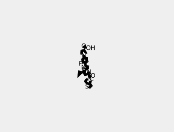 C[C@@H]1c2ccsc2CCN1C(=O)c1cc(C2CC2)n2nc(-c3ccc(N4CC[C@H](C(=O)O)C4)cc3F)cc2n1